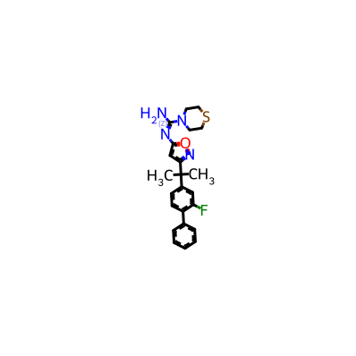 CC(C)(c1ccc(-c2ccccc2)c(F)c1)c1cc(/N=C(/N)N2CCSCC2)on1